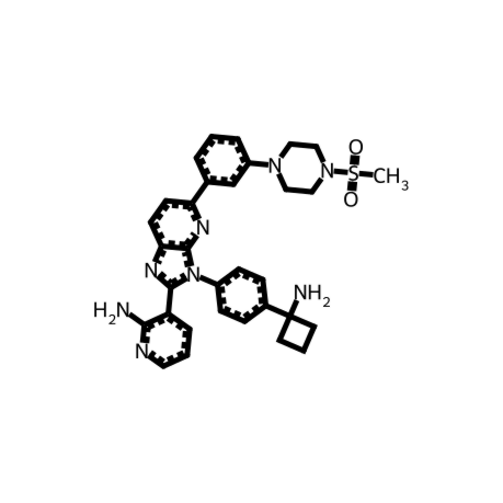 CS(=O)(=O)N1CCN(c2cccc(-c3ccc4nc(-c5cccnc5N)n(-c5ccc(C6(N)CCC6)cc5)c4n3)c2)CC1